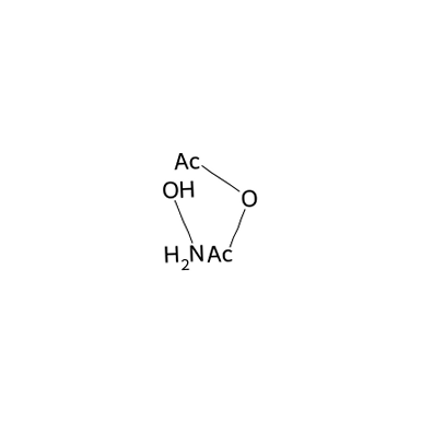 CC(=O)OC(C)=O.NO